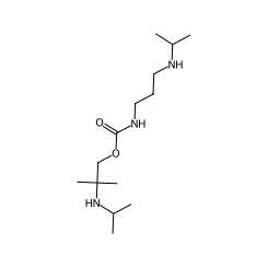 CC(C)NCCCNC(=O)OCC(C)(C)NC(C)C